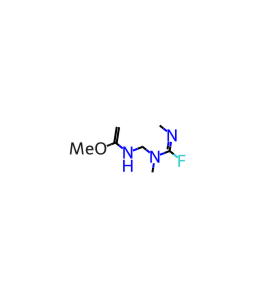 C=C(NCN(C)/C(F)=N\C)OC